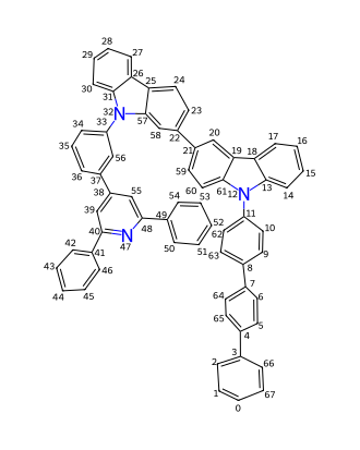 c1ccc(-c2ccc(-c3ccc(-n4c5ccccc5c5cc(-c6ccc7c8ccccc8n(-c8cccc(-c9cc(-c%10ccccc%10)nc(-c%10ccccc%10)c9)c8)c7c6)ccc54)cc3)cc2)cc1